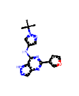 CC(C)(C)n1cc(Nc2nc(-c3ccoc3)nc3cn[nH]c23)cn1